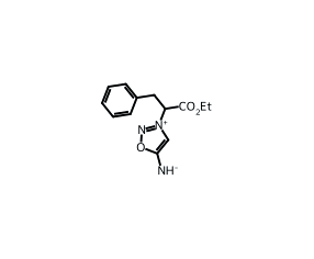 CCOC(=O)C(Cc1ccccc1)[n+]1cc([NH-])on1